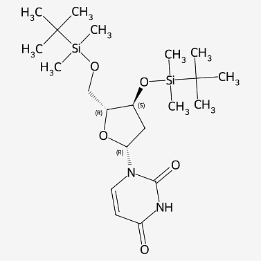 CC(C)(C)[Si](C)(C)OC[C@H]1O[C@@H](n2ccc(=O)[nH]c2=O)C[C@@H]1O[Si](C)(C)C(C)(C)C